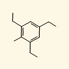 [B]c1c(CF)cc(CF)cc1CF